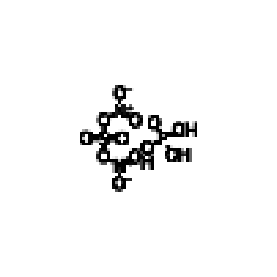 O=P(O)(O)O.O=[N+]([O-])OS(=O)(=O)O[N+](=O)[O-]